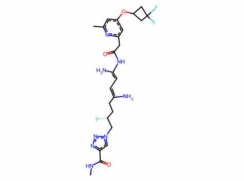 CNC(=O)c1cn(C[C@H](F)CC/C(N)=C/C=C(\N)NC(=O)Cc2cc(OC3CC(F)(F)C3)cc(C)n2)nn1